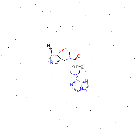 N#Cc1cncc2c1OCCN(C(=O)[C@H]1CCN(c3nccn4ncnc34)C[C@@H]1F)C2